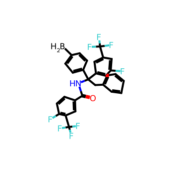 Bc1ccc(C(Cc2ccccc2)(NC(=O)c2ccc(F)c(C(F)(F)F)c2)c2cc(F)cc(C(F)(F)F)c2)cc1